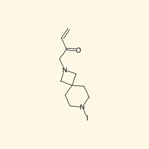 C=CC(=O)CN1CC2(CCN(I)CC2)C1